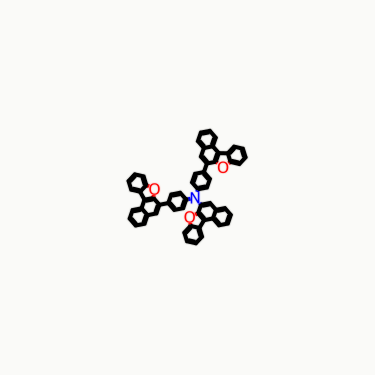 c1ccc2c(c1)cc(-c1ccc(N(c3ccc(-c4cc5ccccc5c5c4oc4ccccc45)cc3)c3cc4ccccc4c4c3oc3ccccc34)cc1)c1oc3ccccc3c12